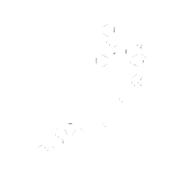 Nc1ncc(-c2cnn(C3CCN(C4CC5(CCN(CC6CCN(c7ccc8c(c7)C(=O)N(C7CCC(=O)NC7=O)C8=O)CC6)CC5)C4)CC3)c2)nc1C(=O)O[C@@H](C(=O)Nc1ccc(F)cc1)c1ccccc1